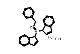 C1=C[CH]([Hf](=[SiH]Cc2ccccc2)[CH]2C=Cc3ccccc32)c2ccccc21.Cl.Cl